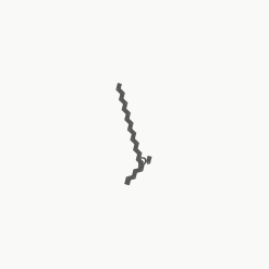 C=CCCCP(CC)CCCCCCCCCCCCCCCC